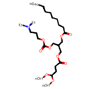 CCCCCCCCCCCCCCCCCC(=O)OCC(COC(=O)CCC(OCCCCCCCC)OCCCCCCCC)COC(=O)OCCCN(CC)CC